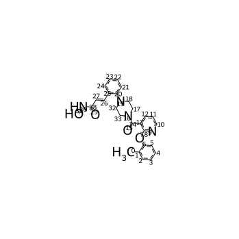 Cc1ccccc1Oc1ncccc1C(=O)N1CCN(c2ccccc2C=CC(=O)NO)CC1